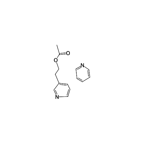 CC(=O)OCCc1cccnc1.c1ccncc1